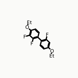 CCOc1ccc(-c2ccc(OCC)c(F)c2F)c(F)c1